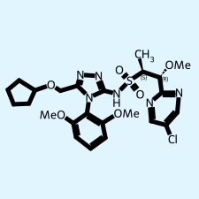 COc1cccc(OC)c1-n1c(COC2CCCC2)nnc1NS(=O)(=O)[C@@H](C)[C@H](OC)c1ncc(Cl)cn1